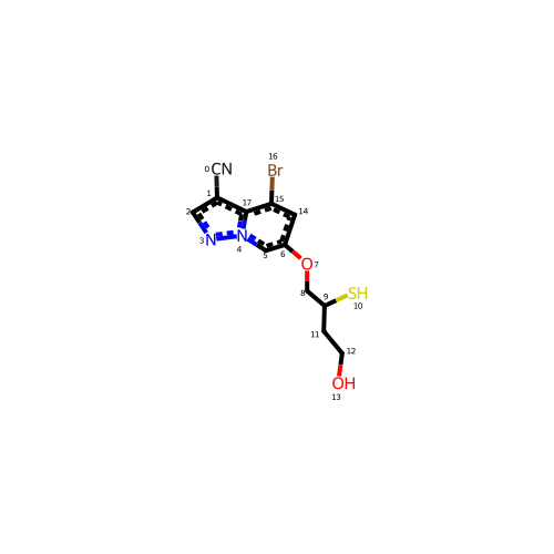 N#Cc1cnn2cc(OCC(S)CCO)cc(Br)c12